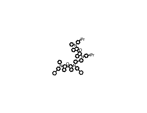 CC(C)c1ccc(N(c2ccccc2)c2cc3oc4cc(N(c5ccc(C(C)C)cc5)c5cccc(-c6cccc(N(c7ccc(C8CCCCC8)cc7)c7cc8oc9cc(N(c%10ccccc%10)c%10ccc(C%11CCCCC%11)cc%10)c%10ccccc%10c9c8c8ccccc78)c6)c5)c5ccccc5c4c3c3ccccc23)cc1